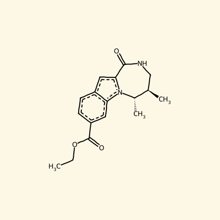 CCOC(=O)c1ccc2cc3n(c2c1)[C@@H](C)[C@H](C)CNC3=O